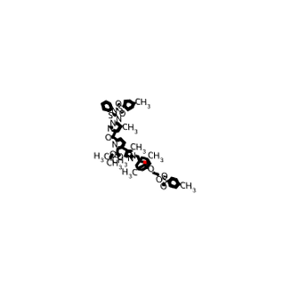 Cc1ccc(S(=O)(=O)OCCOC23CC4(Cn5ncc(-c6ccc(C(=O)c7cc(C)c(/N=c8\sc9ccccc9n8S(=O)(=O)c8ccc(C)cc8)nn7)nc6C(=O)OC(C)(C)C)c5C)C[C@@](C)(C2)C[C@](C)(C4)C3)cc1